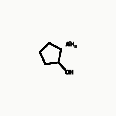 OC1CCCC1.[AlH3]